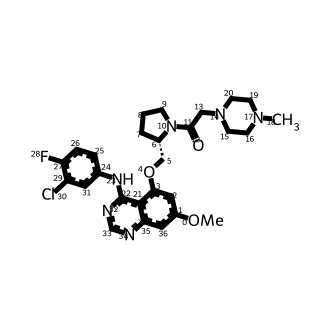 COc1cc(OC[C@@H]2CCCN2C(=O)CN2CCN(C)CC2)c2c(Nc3ccc(F)c(Cl)c3)ncnc2c1